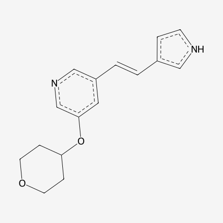 C(=Cc1cncc(OC2CCOCC2)c1)c1cc[nH]c1